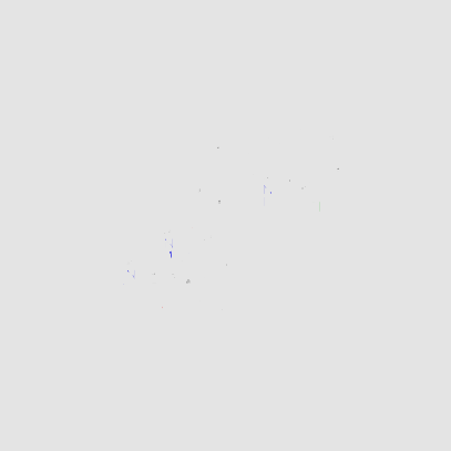 CC(C)[C@@H](OC(=O)Cc1ccccc1Nc1c(Cl)cccc1Cl)[C@H](N)C(N)=O